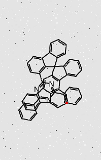 c1ccc(-c2nc(-c3ccccc3)nc(-c3cccc4c3C3(c5ccccc5-4)c4ccccc4-c4c3cc3c5c(cccc45)-c4ccccc4-3)n2)cc1